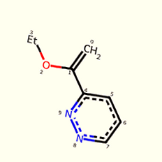 C=C(OCC)c1cccnn1